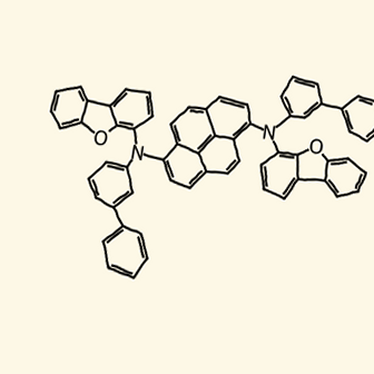 c1ccc(-c2cccc(N(c3ccc4ccc5c(N(c6cccc(-c7ccccc7)c6)c6cccc7c6oc6ccccc67)ccc6ccc3c4c65)c3cccc4c3oc3ccccc34)c2)cc1